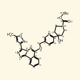 Cc1cc(-c2nnc3c4ccccc4c(OCc4ccc(C5(O)CCN(C(=O)OC(C)(C)C)CC5)nc4)nn23)no1